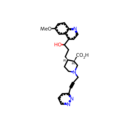 COc1ccc2nccc(C(O)CC[C@@H]3CCN(CC#Cc4cccnn4)C[C@@H]3C(=O)O)c2c1